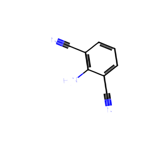 N#Cc1cccc(C#N)c1N